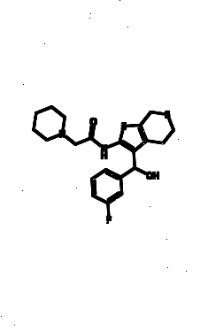 O=C(CN1CCCCC1)Nc1sc2c(c1C(O)c1cccc(F)c1)CCSC2